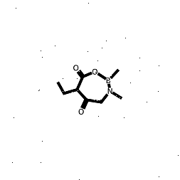 CCC1C(=O)CN(C)B(C)OC1=O